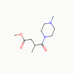 COC(=O)CC(C)C(=O)N1CCN(C)CC1